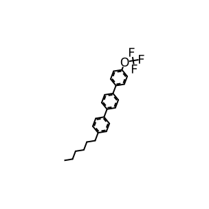 CCCCCCc1ccc(-c2ccc(-c3ccc(OC(F)(F)F)cc3)cc2)cc1